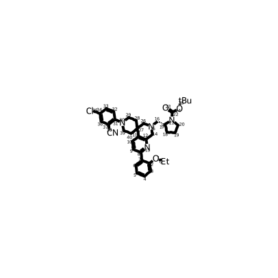 CCOc1ccccc1-c1ccc2c(n1)CN(C[C@H]1CCCN1C(=O)OC(C)(C)C)CC21CCN(c2ccc(Cl)cc2C#N)CC1